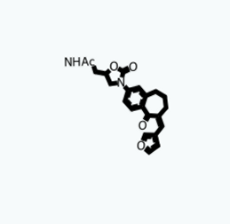 CC(=O)NCC1CN(c2ccc3c(c2)CCCC(=Cc2ccoc2)C3=O)C(=O)O1